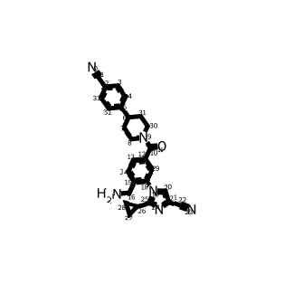 N#Cc1ccc(C2CCN(C(=O)c3ccc(CN)c(-n4cc(C#N)nc4C4CC4)c3)CC2)cc1